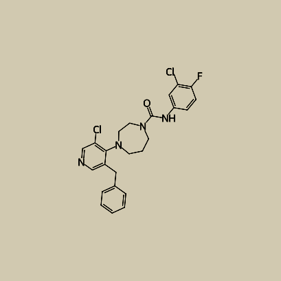 O=C(Nc1ccc(F)c(Cl)c1)N1CCCN(c2c(Cl)cncc2Cc2ccccc2)CC1